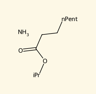 CCCCCCCC(=O)OC(C)C.N